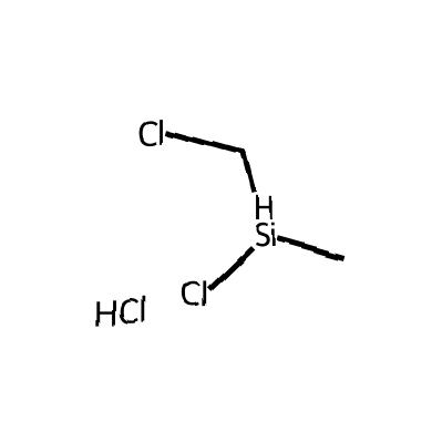 C[SiH](Cl)CCl.Cl